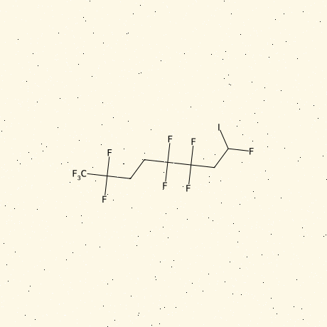 FC(I)CC(F)(F)C(F)(F)CCC(F)(F)C(F)(F)F